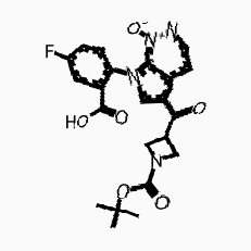 CC(C)(C)OC(=O)N1CC(C(=O)c2cn(-c3ccc(F)cc3C(=O)O)c3c2ccn[n+]3[O-])C1